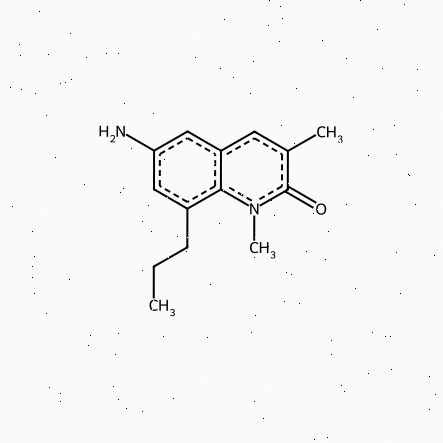 CCCc1cc(N)cc2cc(C)c(=O)n(C)c12